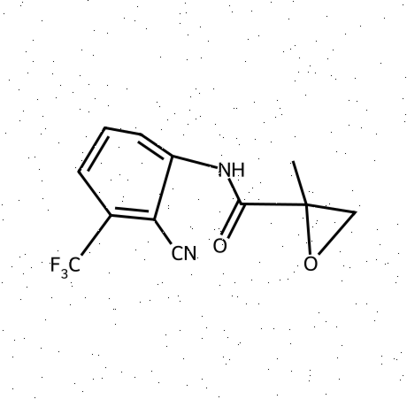 CC1(C(=O)Nc2cccc(C(F)(F)F)c2C#N)CO1